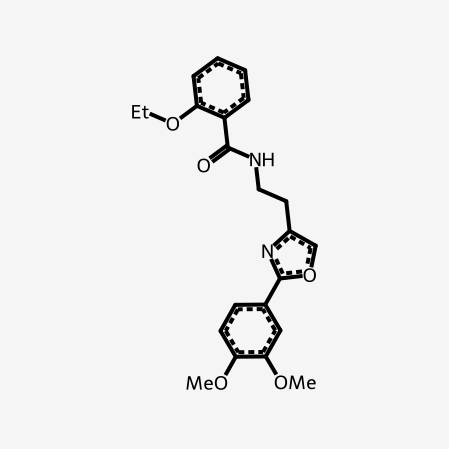 CCOc1ccccc1C(=O)NCCc1coc(-c2ccc(OC)c(OC)c2)n1